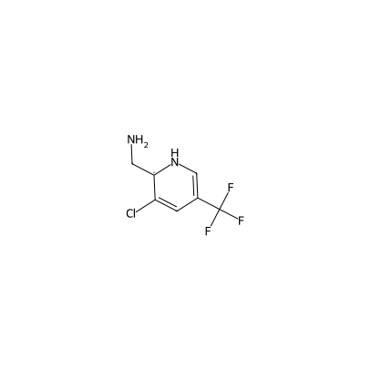 NC[C]1NC=C(C(F)(F)F)C=C1Cl